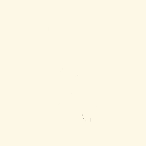 OCCC1CC2(CCNCC2)C1